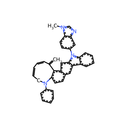 C=C1/C=C\C=C/CN(c2ccccc2)c2ccc3cc4c5ccccc5n(-c5ccc6c(c5)ncn6C)c4cc3c21